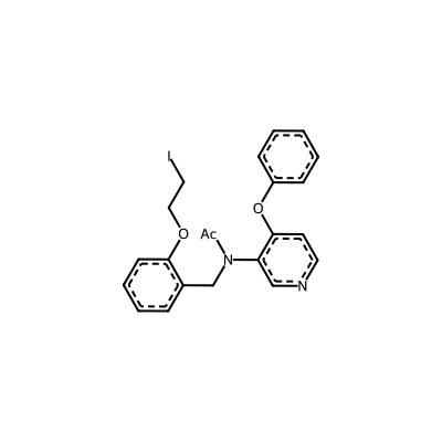 CC(=O)N(Cc1ccccc1OCCI)c1cnccc1Oc1ccccc1